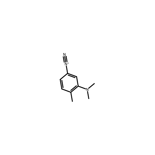 Cc1ccc([N+]#N)cc1N(C)C